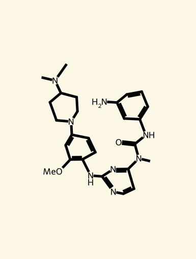 COc1cc(N2CCC(N(C)C)CC2)ccc1Nc1nccc(N(C)C(=O)Nc2cccc(N)c2)n1